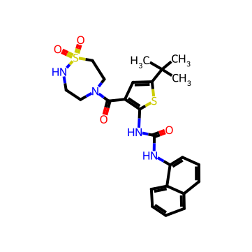 CC(C)(C)c1cc(C(=O)N2CCNS(=O)(=O)CC2)c(NC(=O)Nc2cccc3ccccc23)s1